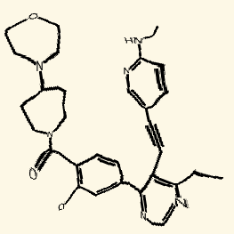 CCc1ncnc(-c2ccc(C(=O)N3CCC(N4CCOCC4)CC3)c(Cl)c2)c1C#Cc1ccc(NC)nc1